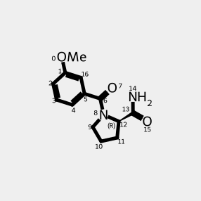 COc1cccc(C(=O)N2CCC[C@@H]2C(N)=O)c1